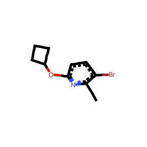 Cc1nc(OC2CCC2)ccc1Br